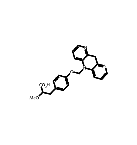 COC(Cc1ccc(OCN2c3cccnc3Cc3ncccc32)cc1)C(=O)O